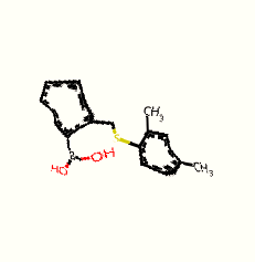 Cc1ccc(SCc2ccccc2B(O)O)c(C)c1